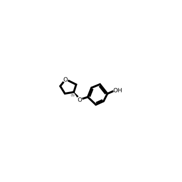 Oc1ccc(O[C@H]2CCOC2)cc1